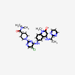 CC(Nc1cc(=O)n(C)c2ccc(Nc3nc(N4CCC(C(=O)N(C)C)CC4)ncc3Cl)cc12)c1ncccn1